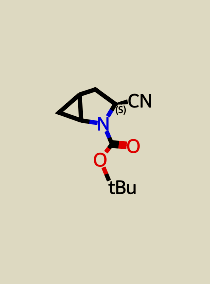 CC(C)(C)OC(=O)N1C2CC2C[C@H]1C#N